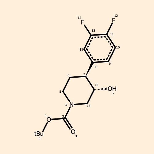 CC(C)(C)OC(=O)N1CC[C@@H](c2ccc(F)c(F)c2)[C@H](O)C1